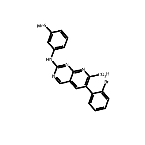 CSc1cccc(Nc2ncc3cc(-c4ccccc4Br)c(C(=O)O)nc3n2)c1